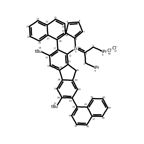 CC(C)C[C](CC(C)C)=[Zr+2]([C]1=CC=CC1)[c]1c2c(cc(C(C)(C)C)c1-c1cccc3ccccc13)-c1cc(C(C)(C)C)c(-c3cccc4ccccc34)cc1C2.[Cl-].[Cl-]